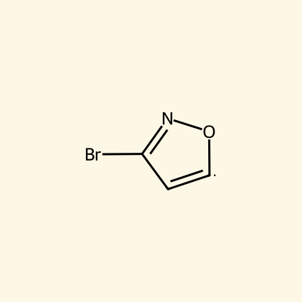 Brc1c[c]on1